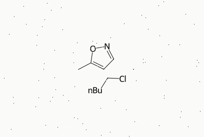 CCCCCCl.Cc1ccno1